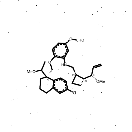 C=C[C@H](OC)[C@@H]1CC[C@H]1CNc1cc(OC=O)ccc1OC[C@@]1(C(C)OC)CCCc2cc(Cl)ccc21